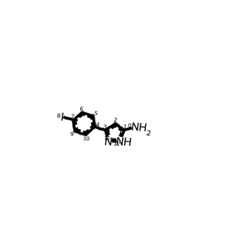 Nc1cc(-c2ccc(I)cc2)n[nH]1